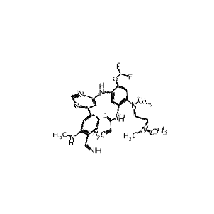 C=CC(=O)Nc1cc(Nc2cc(-c3ccc(C=N)c(NC)c3)ncn2)c(OC(F)F)cc1N(C)CCN(C)C